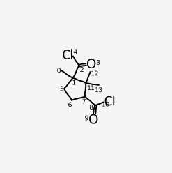 CC1(C(=O)Cl)CCC(C(=O)Cl)C1(C)C